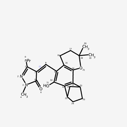 CCCC1=NN(C)C(=O)/C1=C\c1c(O)c2c(c3c1CCC(C)(C)O3)C1CCC2C1